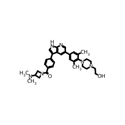 Cc1cc(-c2cnc3[nH]cc(-c4ccc(C(=O)N5CC(N(C)C)C5)cc4)c3c2)cc(C)c1N1CCN(CCO)CC1